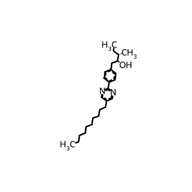 CCCCCCCCCCc1cnc(-c2ccc(C[C@H](O)[C@@H](C)CC)cc2)nc1